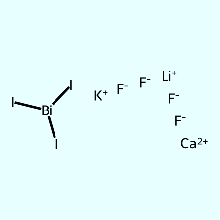 [Ca+2].[F-].[F-].[F-].[F-].[I][Bi]([I])[I].[K+].[Li+]